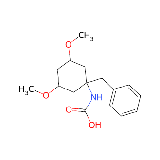 COC1CC(OC)CC(Cc2ccccc2)(NC(=O)O)C1